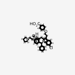 O=C(O)c1ccc(OCCc2c(CCNS(=O)(=O)CCN3CCCC3)n(C(c3ccccc3)c3ccccc3)c3cc(Cl)ccc23)cc1